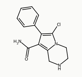 NC(=O)c1c(-c2ccccc2)c(Cl)n2c1CNCC2